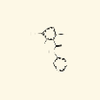 O=C(Nc1cncnc1)c1c(Br)ccc(C(F)(F)F)c1F